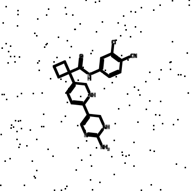 N#Cc1ccc(NC(=O)C2(C3=CC=C(C4=CN=C(N)NC4)NC3)CCC2)cc1Cl